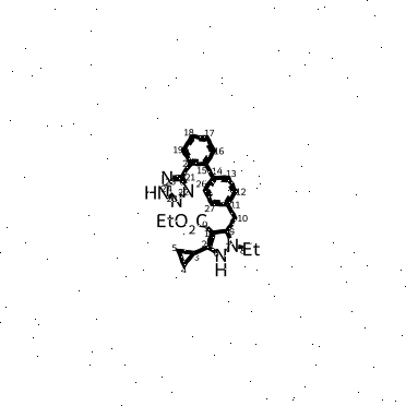 CCOC(=O)C1=C(C2CC2)NN(CC)C1Cc1ccc(-c2ccccc2-c2nn[nH]n2)cc1